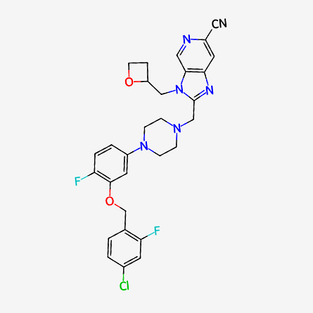 N#Cc1cc2nc(CN3CCN(c4ccc(F)c(OCc5ccc(Cl)cc5F)c4)CC3)n(CC3CCO3)c2cn1